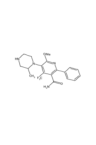 COc1nc(-c2ccccc2)c(C(N)=O)c(C(F)(F)F)c1N1CCNCC1C